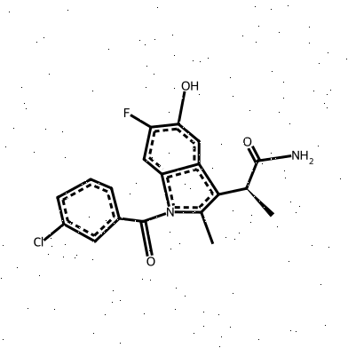 Cc1c([C@H](C)C(N)=O)c2cc(O)c(F)cc2n1C(=O)c1cccc(Cl)c1